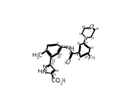 Cc1ccc(NC(=O)c2cc(F)cc(N3CCOCC3)c2)cc1-c1cc(C(=O)O)[nH]n1